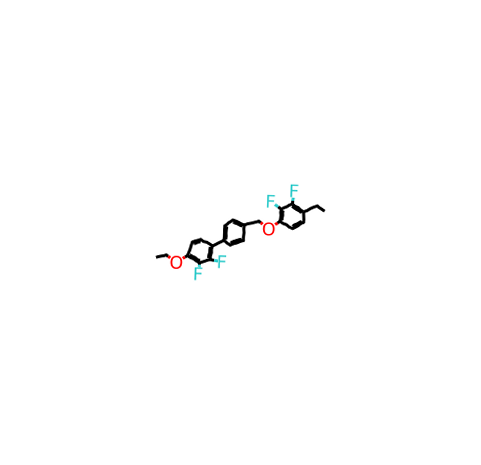 CCOc1ccc(-c2ccc(COc3ccc(CC)c(F)c3F)cc2)c(F)c1F